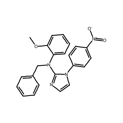 COc1ccccc1N(Cc1ccccc1)c1nccn1-c1ccc([N+](=O)[O-])cc1